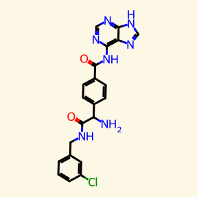 NC(C(=O)NCc1cccc(Cl)c1)c1ccc(C(=O)Nc2ncnc3[nH]cnc23)cc1